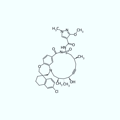 COc1nn(C)cc1C(=O)NS1(=O)=NC(=O)c2ccc3c(c2)N(C[C@H](C)[C@@H](C)[C@H](O)C#CC[C@H](C)C1)C[C@@]1(CCCc2cc(Cl)ccc21)CO3